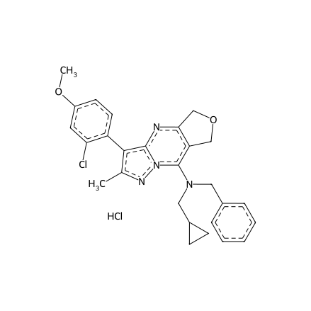 COc1ccc(-c2c(C)nn3c(N(Cc4ccccc4)CC4CC4)c4c(nc23)COC4)c(Cl)c1.Cl